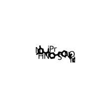 Cc1cc(-c2[nH]c3ccc(-c4cc5c(s4)CN(C(=O)CN(C)C)CC5)cc3c2C(C)C)cc(C)n1